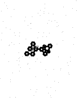 c1ccc(-c2cccc(-c3cc(-c4ccc5c(c4)-c4ccccc4C54c5ccccc5-c5ccccc5-c5ccccc54)nc(-c4ccccc4-c4ccccc4)n3)c2)cc1